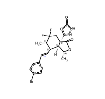 C[C@H]1OC(=O)[C@]2(c3n[nH]c(=O)o3)CC(F)(F)[C@@H](C)[C@H](/C=C/c3ccc(Br)cn3)[C@H]12